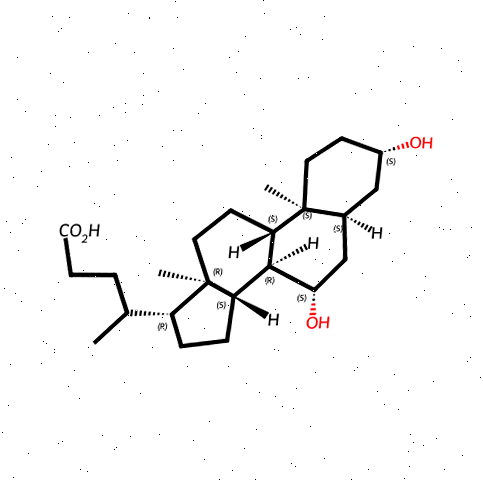 CC(CCC(=O)O)[C@H]1CC[C@H]2[C@@H]3[C@@H](O)C[C@@H]4C[C@@H](O)CC[C@]4(C)[C@H]3CC[C@]12C